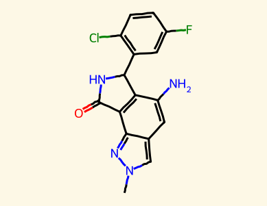 Cn1cc2cc(N)c3c(c2n1)C(=O)NC3c1cc(F)ccc1Cl